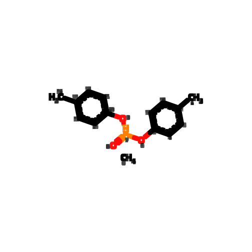 C.Cc1ccc(O[PH](=O)Oc2ccc(C)cc2)cc1